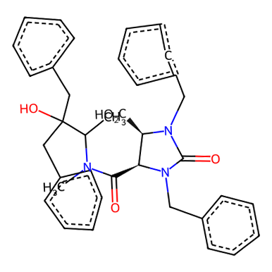 CC(N(C)C(=O)[C@H]1[C@@H](C(=O)O)N(Cc2ccccc2)C(=O)N1Cc1ccccc1)C(O)(Cc1ccccc1)Cc1ccccc1